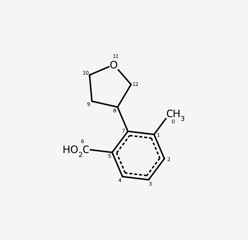 Cc1cccc(C(=O)O)c1C1CCOC1